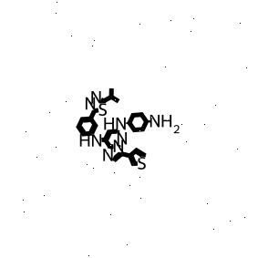 CC(C)c1nnc(-c2cccc(Nc3cc(N[C@H]4CC[C@H](N)CC4)nn4c(-c5ccsc5)cnc34)c2)s1